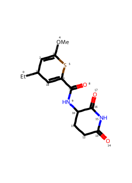 CCC1C=C(OC)SC(C(=O)NC2CCC(=O)NC2=O)=C1